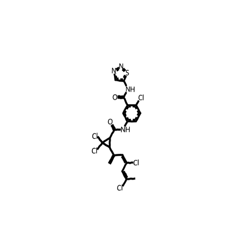 C=C(/C=C(Cl)\C=C(/C)Cl)C1C(C(=O)Nc2ccc(Cl)c(C(=O)Nc3cnns3)c2)C1(Cl)Cl